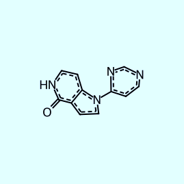 O=c1[nH]ccc2c1ccn2-c1ccncn1